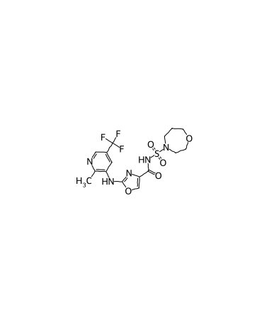 Cc1ncc(C(F)(F)F)cc1Nc1nc(C(=O)NS(=O)(=O)N2CCCOCC2)co1